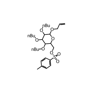 C=CCOC1OC(COS(=O)(=O)c2ccc(C)cc2)C(OCCCC)C(OCCCC)C1OCCCC